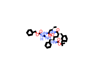 CC[C@@H](CC(=O)NC(=N)NC(=O)OCc1ccccc1)NC(=O)[C@H](Cc1ccccc1)C[C@H](O)[C@H](Cc1ccccc1)NC(=O)OC(C)(C)C